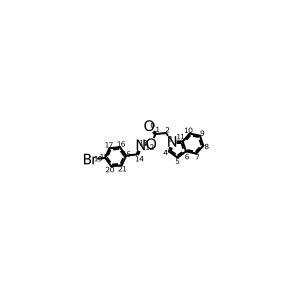 O=C(Cn1ccc2ccccc21)ON=Cc1ccc(Br)cc1